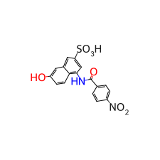 O=C(Nc1cc(S(=O)(=O)O)cc2cc(O)ccc12)c1ccc([N+](=O)[O-])cc1